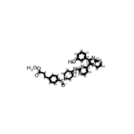 COC(=O)CCc1ccc([S+]([O-])N2CCC(Nc3nccc(-c4c(-c5cccc(O)c5)nc5sccn45)n3)CC2)cc1